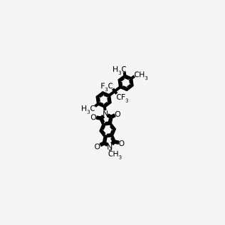 Cc1ccc(C(c2ccc(C)c(-n3c(=O)c4cc5c(=O)n(C)c(=O)c5cc4c3=O)c2)(C(F)(F)F)C(F)(F)F)cc1C